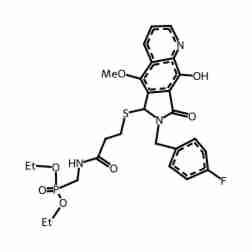 CCOP(=O)(CNC(=O)CCSC1c2c(c(O)c3ncccc3c2OC)C(=O)N1Cc1ccc(F)cc1)OCC